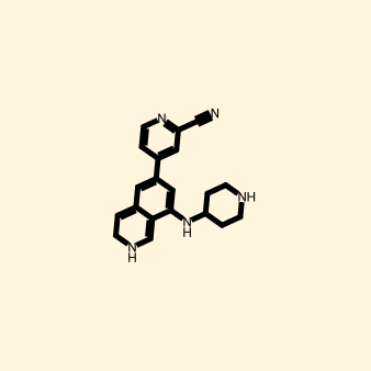 N#Cc1cc(-c2cc(NC3CCNCC3)c3c(c2)=CCNC=3)ccn1